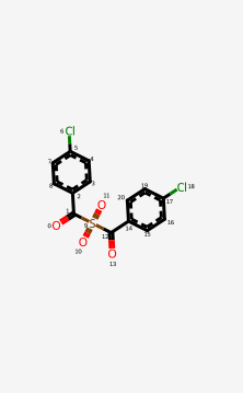 O=C(c1ccc(Cl)cc1)S(=O)(=O)C(=O)c1ccc(Cl)cc1